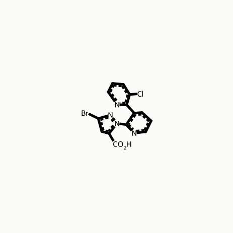 O=C(O)c1cc(Br)nn1-c1ncccc1-c1ncccc1Cl